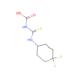 O=C(O)NC(=S)NC1CCC(F)(F)CC1